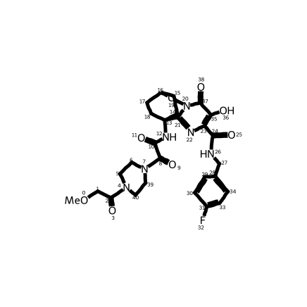 COCC(=O)N1CCN(C(=O)C(=O)NC23CCC(CC2)Cn2c3nc(C(=O)NCc3ccc(F)cc3)c(O)c2=O)CC1